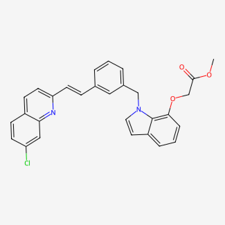 COC(=O)COc1cccc2ccn(Cc3cccc(C=Cc4ccc5ccc(Cl)cc5n4)c3)c12